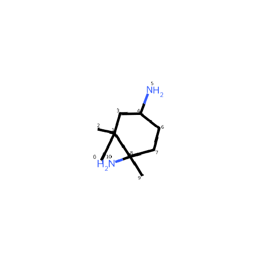 CC1(C)CC(N)CCC1(C)N